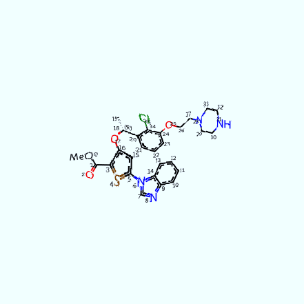 COC(=O)c1sc(-n2cnc3ccccc32)cc1O[C@H](C)c1cccc(OCCN2CCNCC2)c1Cl